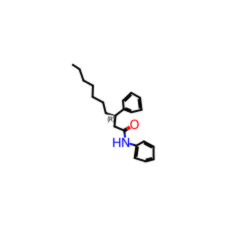 CCCCCCC[C@H](CC(=O)Nc1ccccc1)c1ccccc1